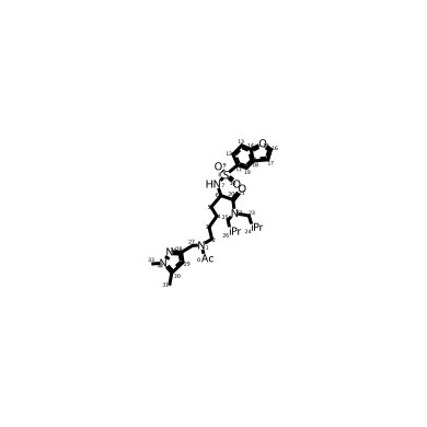 CC(=O)N(CCCCC(NS(=O)(=O)c1ccc2occc2c1)C(=O)N(CC(C)C)CC(C)C)Cc1cc(C)n(C)n1